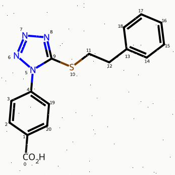 O=C(O)c1ccc(-n2nnnc2SCCc2ccccc2)cc1